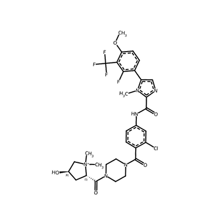 COc1ccc(-c2cnc(C(=O)Nc3ccc(C(=O)N4CCN(C(=O)[C@@H]5C[C@@H](O)C[N+]5(C)C)CC4)c(Cl)c3)n2C)c(F)c1C(F)(F)F